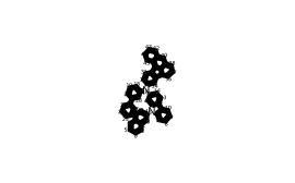 C1=CC2=CC(n3c4ccccc4c4ccc(N(c5cccc(-c6ccccc6)c5)c5ccc6c(c5)C5C=CC=C7C=C8C=CCCC8=C6C75)cc43)=CCC2C=C1